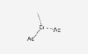 C[C](=O)[Cr]([CH3])[C](C)=O